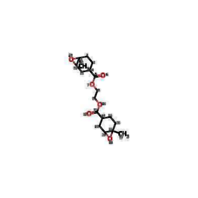 CC12CCC(C(=O)OCCOC(=O)C3CCC4(C)OC4C3)CC1O2